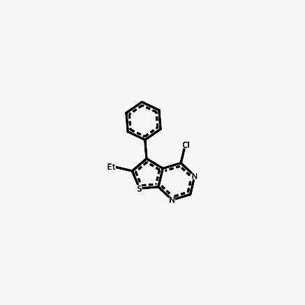 CCc1sc2ncnc(Cl)c2c1-c1ccccc1